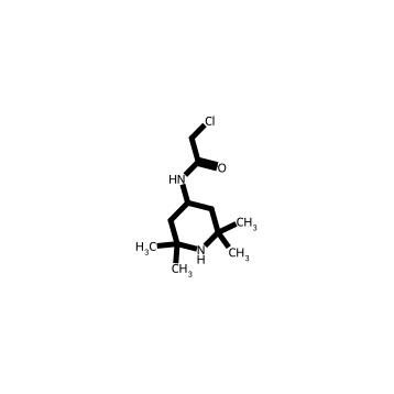 CC1(C)CC(NC(=O)CCl)CC(C)(C)N1